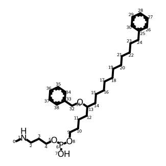 CNCCCOP(O)OCCCCC(CCCCCCCCCCCc1ccccc1)OCc1ccccc1